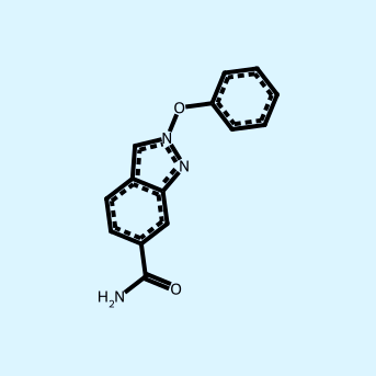 NC(=O)c1ccc2cn(Oc3ccccc3)nc2c1